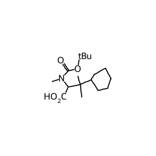 CN(C(=O)OC(C)(C)C)C(C(=O)O)C(C)(C)C1CCCCC1